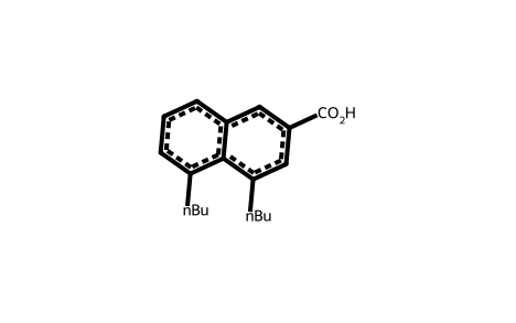 CCCCc1cccc2cc(C(=O)O)cc(CCCC)c12